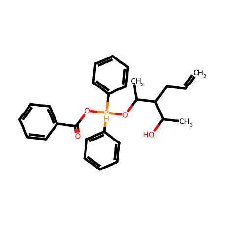 C=CCC(C(C)O)C(C)O[PH](OC(=O)c1ccccc1)(c1ccccc1)c1ccccc1